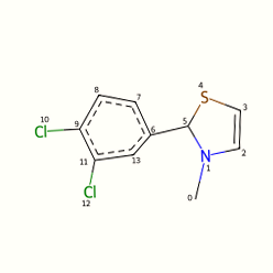 CN1C=CSC1c1ccc(Cl)c(Cl)c1